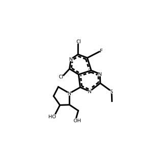 CSc1nc(N2CCC(O)C2CO)c2c(Cl)nc(Cl)c(F)c2n1